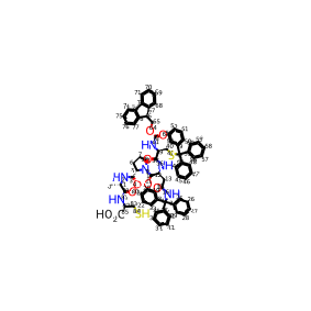 C[C@H](NC(=O)[C@@H]1CCCN1C(=O)[C@H](CC(=O)NC(c1ccccc1)(c1ccccc1)c1ccccc1)NC(=O)[C@H](CSC(c1ccccc1)(c1ccccc1)c1ccccc1)NC(=O)OCC1c2ccccc2-c2ccccc21)C(=O)N[C@@H](CS)C(=O)O